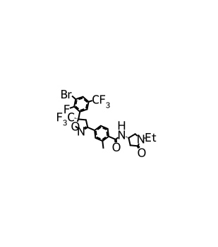 CCN1C[C@@H](NC(=O)c2ccc(C3=NO[C@](c4cc(C(F)(F)F)cc(Br)c4F)(C(F)(F)F)C3)cc2C)CC1=O